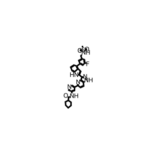 CS(=O)(=O)NCc1cc(F)cc(-c2cccc3[nH]c(-c4n[nH]c5ccc(-c6cncc(NC(=O)C7CCCCC7)c6)nc45)cc23)c1